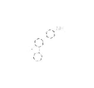 CC1(C)c2ccccc2-c2cc(-c3ccc(N)cc3)ccc21